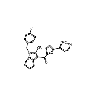 O=C(c1ncc(-c2ccncn2)o1)c1c(C(F)(F)F)n(Cc2ccc(Cl)cc2)c2ccccc12